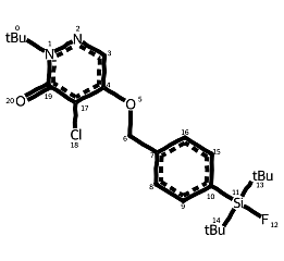 CC(C)(C)n1ncc(OCc2ccc([Si](F)(C(C)(C)C)C(C)(C)C)cc2)c(Cl)c1=O